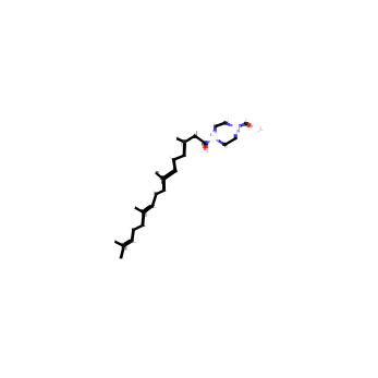 CC(C)=CCC/C(C)=C/CC/C(C)=C/CCC(C)CC(=O)N1CCN(C=O)CC1